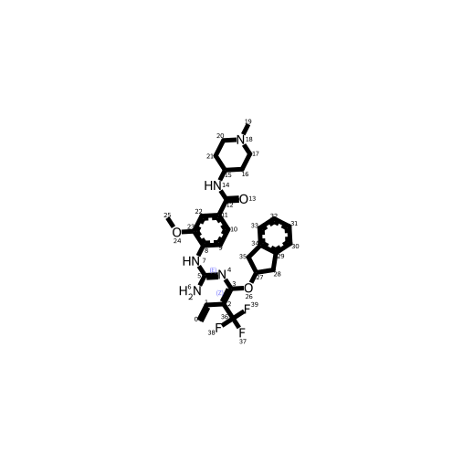 C=C/C(=C(\N=C(/N)Nc1ccc(C(=O)NC2CCN(C)CC2)cc1OC)OC1Cc2ccccc2C1)C(F)(F)F